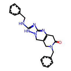 O=C1CC2=C(CN1Cc1ccccc1)CN1NC(NCc3ccccc3)=NC1=N2